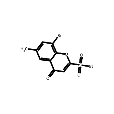 CCS(=O)(=O)c1cc(=O)c2cc(C)cc(Br)c2o1